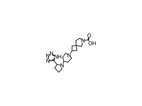 O=C(O)N1CCC2(CC(N3CCC(N4CCCC4c4nnn[nH]4)CC3)C2)C1